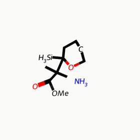 COC(=O)C(C)(C)C1([SiH3])CCCCO1.N